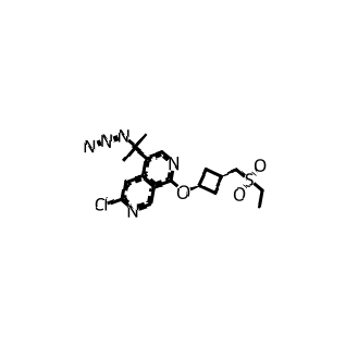 CCS(=O)(=O)C[C@H]1C[C@@H](Oc2ncc(C(C)(C)N=[N+]=[N-])c3cc(Cl)ncc23)C1